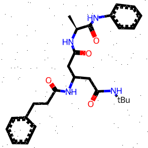 C[C@H](NC(=O)CC(CC(=O)NC(C)(C)C)NC(=O)CCc1ccccc1)C(=O)Nc1ccccc1